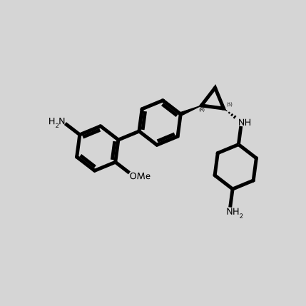 COc1ccc(N)cc1-c1ccc([C@H]2C[C@@H]2NC2CCC(N)CC2)cc1